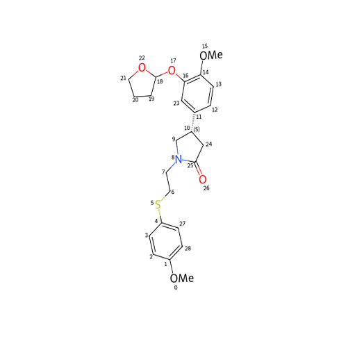 COc1ccc(SCCN2C[C@H](c3ccc(OC)c(OC4CCCO4)c3)CC2=O)cc1